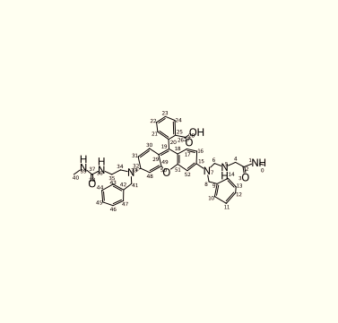 CNC(=O)CNCN(Cc1ccccc1)c1ccc2c(-c3ccccc3C(=O)O)c3cc/c(=[N+](\CCNC(=O)NC)Cc4ccccc4)cc-3oc2c1